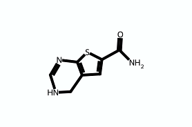 NC(=O)c1cc2c(s1)N=CNC2